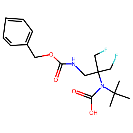 CC(C)(C)N(C(=O)O)C(CF)(CF)CNC(=O)OCc1ccccc1